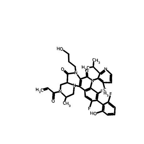 C=CC(=O)N1CC2C(=O)N(CCCO)c3c(c4cc(F)c(-c5c(O)cccc5F)c(F)c4n(-c4c(C)ccnc4C(C)C)c3=O)N2CC1C